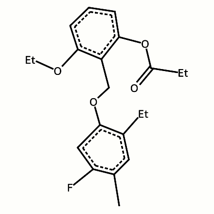 CCOc1cccc(OC(=O)CC)c1COc1cc(F)c(C)cc1CC